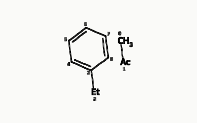 CC(C)=O.CCc1ccccc1